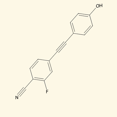 N#Cc1ccc(C#Cc2ccc(O)cc2)cc1F